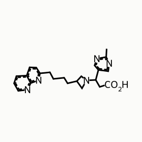 Cc1ncc(C(CC(=O)O)N2CC(CCCCc3ccc4cccnc4n3)C2)cn1